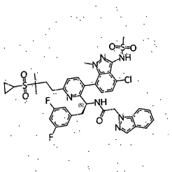 Cn1nc(NS(C)(=O)=O)c2c(Cl)ccc(-c3ccc(CCC(C)(C)S(=O)(=O)C4CC4)nc3[C@H](Cc3cc(F)cc(F)c3)NC(=O)Cn3ncc4ccccc43)c21